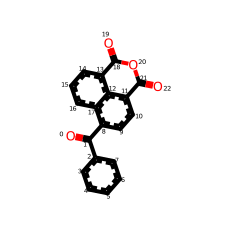 O=C(c1ccccc1)c1ccc2c3c(cccc13)C(=O)OC2=O